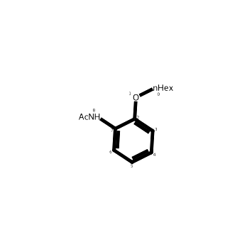 [CH2]CCCCCOc1ccccc1NC(C)=O